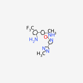 Cc1ncc(-c2ccnc(C(=O)N[C@H](C)c3ccc(-c4cc(C(F)(F)F)ccc4CN)cc3)c2)cn1